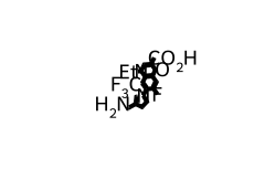 CCn1cc(C(=O)O)c(=O)c2cc(F)c(N3CCC(CN)C3)c(C(F)(F)F)c21